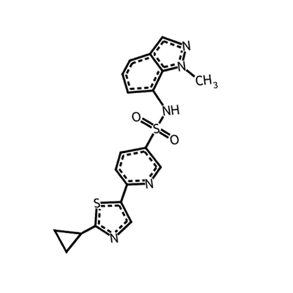 Cn1ncc2cccc(NS(=O)(=O)c3ccc(-c4cnc(C5CC5)s4)nc3)c21